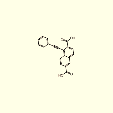 O=C(O)c1ccc2c(C#Cc3ccccc3)c(C(=O)O)ccc2c1